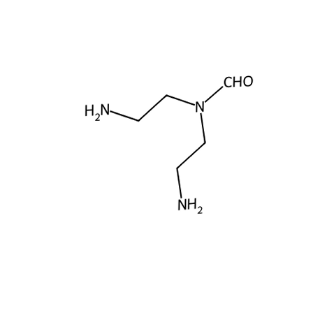 NCCN(C=O)CCN